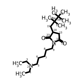 CCN(CC)CCCCCN1C(=O)CC(CC(C)(C)C(C)(C)C)C1=O